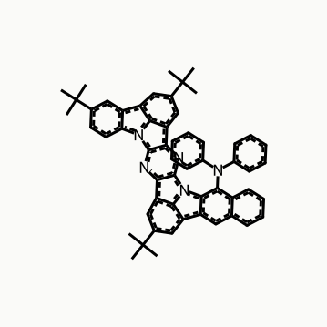 CC(C)(C)c1ccc2c(c1)c1cc(C(C)(C)C)cc3c4nc5c(nc4n2c13)c1cc(C(C)(C)C)cc2c3cc4ccccc4c(N(c4ccccc4)c4ccccc4)c3n5c21